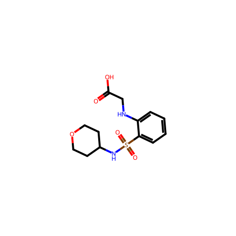 O=C(O)CNc1ccccc1S(=O)(=O)NC1CCOCC1